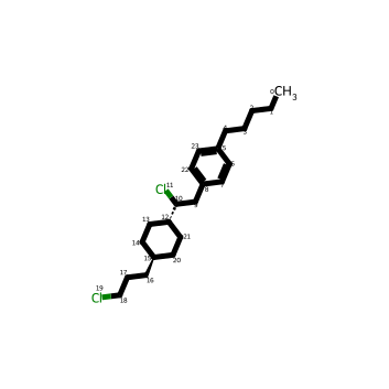 CCCCCc1ccc(CC(Cl)[C@H]2CC[C@H](CCCCl)CC2)cc1